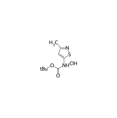 Cc1cc(NC(=O)OC(C)(C)C)sn1.Cl